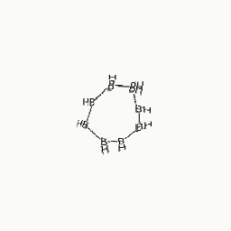 B1BBBBBBB1